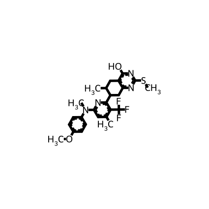 COc1ccc(N(C)c2cc(C)c(C(F)(F)F)c(C3Cc4nc(SC)nc(O)c4CC3C)n2)cc1